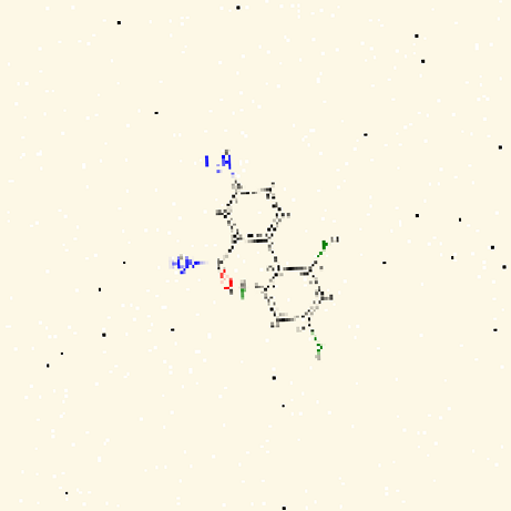 NC(=O)c1cc(N)ccc1-c1c(F)cc(F)cc1F